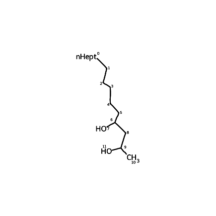 CCCCCCCCCCCCC(O)CC(C)O